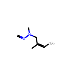 C=NN(C)CC(C)=CCCCC